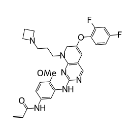 C=CC(=O)Nc1ccc(OC)c(Nc2ncc3c(n2)N(CCCN2CCC2)CC(Oc2ccc(F)cc2F)=C3)c1